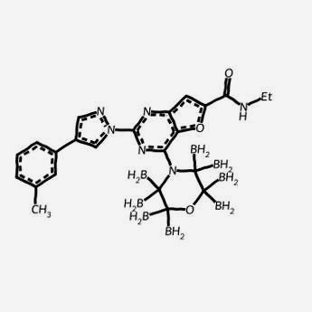 BC1(B)OC(B)(B)C(B)(B)N(c2nc(-n3cc(-c4cccc(C)c4)cn3)nc3cc(C(=O)NCC)oc23)C1(B)B